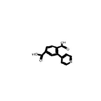 O=C(O)c1ccc(C(=O)O)c(-c2ccncc2)c1